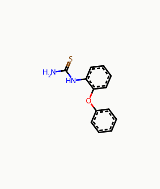 NC(=S)Nc1ccccc1Oc1ccccc1